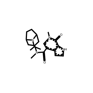 CC(C)N1C2CCC1CC(N(C)C(=O)c1cn(C)c(=O)c3[nH]ccc13)C2